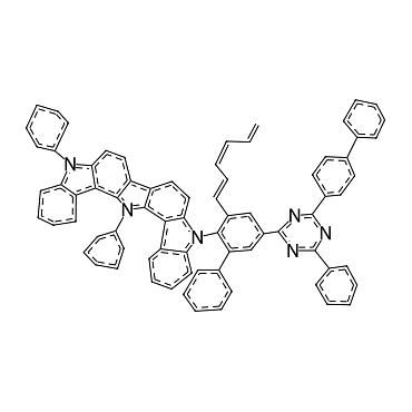 C=C/C=C\C=C\c1cc(-c2nc(-c3ccccc3)nc(-c3ccc(-c4ccccc4)cc3)n2)cc(-c2ccccc2)c1-n1c2ccccc2c2c1ccc1c3ccc4c(c5ccccc5n4-c4ccccc4)c3n(-c3ccccc3)c12